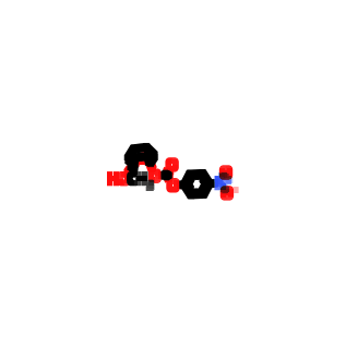 CC1C2CCC(COC2O)C1OC(=O)Oc1ccc([N+](=O)[O-])cc1